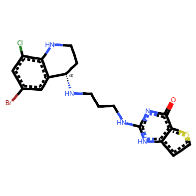 O=c1nc(NCCCN[C@H]2CCNc3c(Cl)cc(Br)cc32)[nH]c2ccsc12